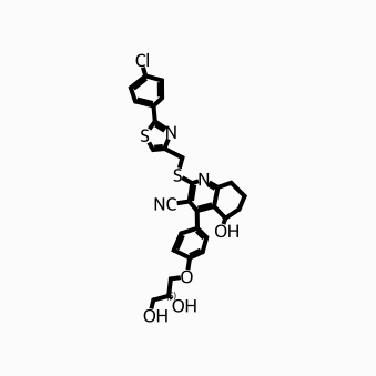 N#Cc1c(SCc2csc(-c3ccc(Cl)cc3)n2)nc2c(c1-c1ccc(OC[C@@H](O)CO)cc1)C(O)CCC2